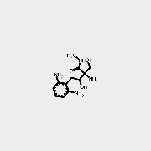 CNC(=O)C(N)(CO)C(O)Cc1c(N)cccc1N